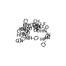 CC(C)C[C@H](NC(=O)[C@H](CCc1ccccc1)NC(=O)CN1CCOCC1)C(=O)N[C@@H](Cc1ccccc1)C(=O)N[C@@H](CC(C)C)C(=O)C(C)(O)COS(=O)(=O)c1ccc(F)c(C(=O)NCc2cn(PCc3ccccc3)nn2)c1